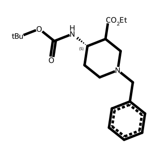 CCOC(=O)C1CN(Cc2ccccc2)CC[C@@H]1NC(=O)OC(C)(C)C